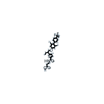 CCC(COc1cc(C)c(-c2ccc(C(F)(F)F)cc2)c(C)c1)c1ccc(C(=O)NCCC(=O)OC)s1